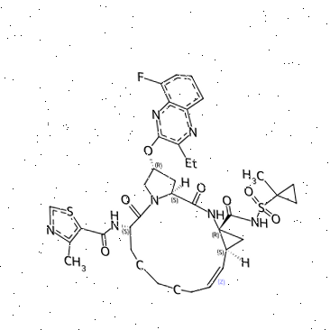 CCc1nc2cccc(F)c2nc1O[C@@H]1C[C@H]2C(=O)N[C@]3(C(=O)NS(=O)(=O)C4(C)CC4)C[C@H]3/C=C\CCCCC[C@H](NC(=O)c3scnc3C)C(=O)N2C1